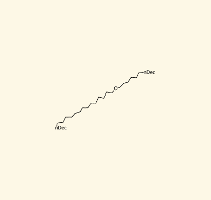 CCCCCCCCCCCCCCCCCCCCCCCCOCCCCCCCCCCCCCCCC